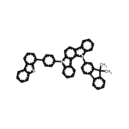 CC1(C)c2ccccc2-c2ccc(-n3c4ccccc4c4ccc5c(c6ccccc6n5-c5ccc(-c6cccc7c6sc6ccccc67)cc5)c43)cc21